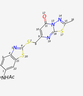 CC(=O)Nc1ccc2nc(SCc3cc(=O)n4nc(C)sc4n3)sc2c1